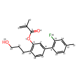 C=C(C)C(=O)Oc1cc(-c2ccc(C)cc2F)ccc1CCCO